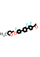 CC1CCC(COc2ccc(-c3ccc(-c4ccc(C5CO5)c(F)c4F)cc3)cc2F)OC1